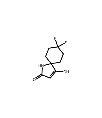 O=C1C=C(O)C2(CCC(F)(F)CC2)N1